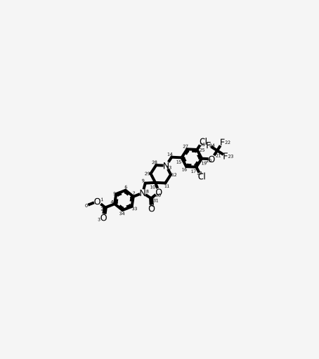 COC(=O)c1ccc(N2CC3(CCN(Cc4cc(Cl)c(OC(F)(F)F)c(Cl)c4)CC3)OC2=O)cc1